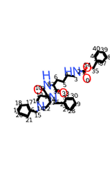 O=C(NCCCCC1NC(=O)C2(CCN(Cc3ccccc3)CC2)N(Cc2ccccc2)C1=O)OCc1ccccc1